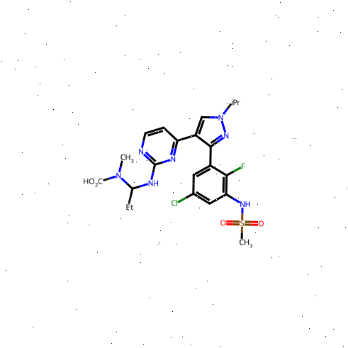 CCC(Nc1nccc(-c2cn(C(C)C)nc2-c2cc(Cl)cc(NS(C)(=O)=O)c2F)n1)N(C)C(=O)O